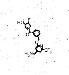 NCc1cc(OCc2cccc(C(=O)N3CC(O)C(F)C3)c2)nc(C(F)(F)F)c1